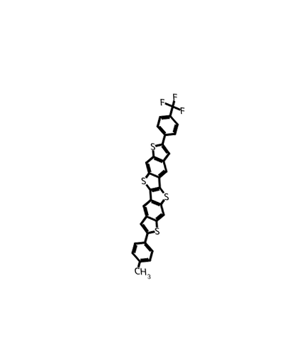 Cc1ccc(-c2cc3cc4c(cc3s2)sc2c3cc5cc(-c6ccc(C(F)(F)F)cc6)sc5cc3sc42)cc1